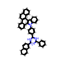 NC(NC(NCc1ccc2c(c1)C=CCC2)c1ccc(-n2c3c(c4c5c6ccccc6ccc5c5ccccc5c42)CCC=C3)cc1)c1ccccc1